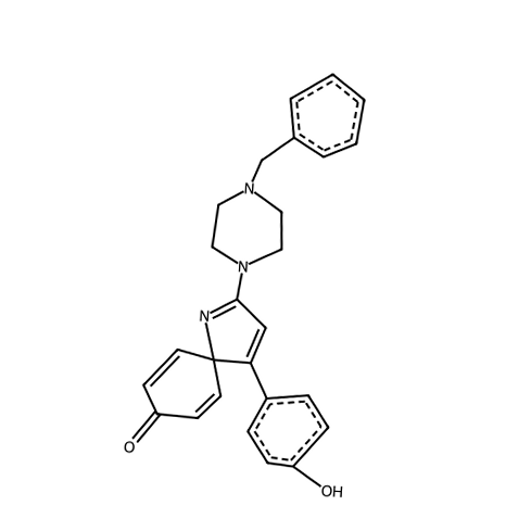 O=C1C=CC2(C=C1)N=C(N1CCN(Cc3ccccc3)CC1)C=C2c1ccc(O)cc1